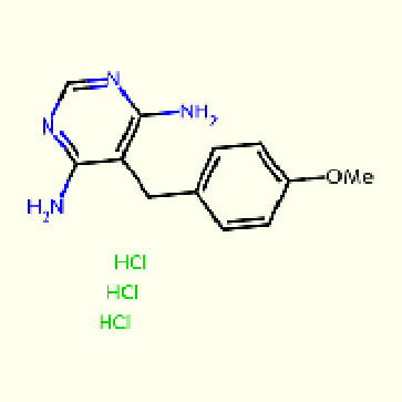 COc1ccc(Cc2c(N)ncnc2N)cc1.Cl.Cl.Cl